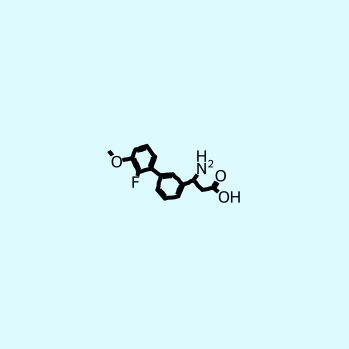 COc1cccc(-c2cccc(C(N)CC(=O)O)c2)c1F